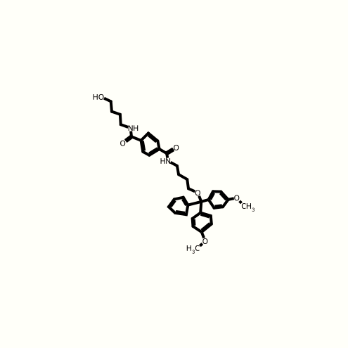 COc1ccc(C(OCCCCNC(=O)c2ccc(C(=O)NCCCCO)cc2)(c2ccccc2)c2ccc(OC)cc2)cc1